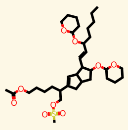 CCCCCC(C=CC1C(OC2CCCCO2)CC2CC(C(CCCCOC(C)=O)COS(C)(=O)=O)=CC21)OC1CCCCO1